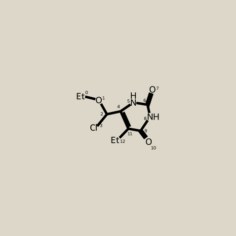 CCOC(Cl)c1[nH]c(=O)[nH]c(=O)c1CC